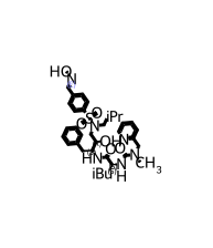 CC[C@H](C)[C@H](NC(=O)N(C)Cc1ccccn1)C(=O)N[C@@H](Cc1ccccc1)[C@H](O)CN(CC(C)C)S(=O)(=O)c1ccc(/C=N/O)cc1